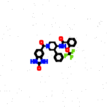 O=C(N[C@@H]1CCN(C(=O)c2ccc3[nH]c(=O)[nH]c3c2)C[C@@H]1c1ccccc1)c1ccccc1OC(F)(F)F